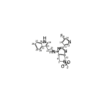 CS(=O)(=O)N1CCc2c(nc(-c3cncc(F)c3)nc2NCCc2c[nH]c3ccccc23)C1